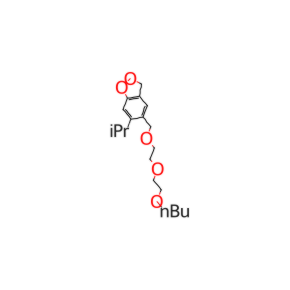 CCCCOCCOCCOCc1cc2c(cc1C(C)C)OOC2